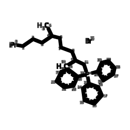 CC(C)CCCC(C)CCCC(C)C[P+](c1ccccc1)(c1ccccc1)c1ccccc1.[Br-]